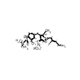 Cc1nn(CC(F)=CCN)c(C)c1Cc1ccc(S(=O)(=O)N(C)C)c(C(F)(F)F)c1.Cl